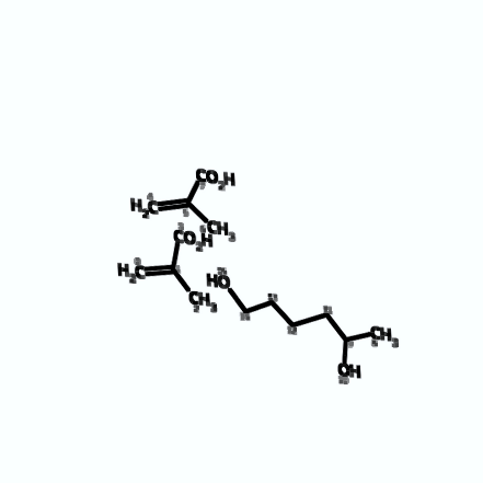 C=C(C)C(=O)O.C=C(C)C(=O)O.CC(O)CCCCO